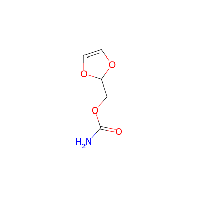 NC(=O)OCC1OC=CO1